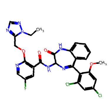 CCn1ncnc1COc1ncc(F)cc1C(=O)NC1N=C(c2c(Cl)cc(Cl)cc2OC)c2ccccc2NC1=O